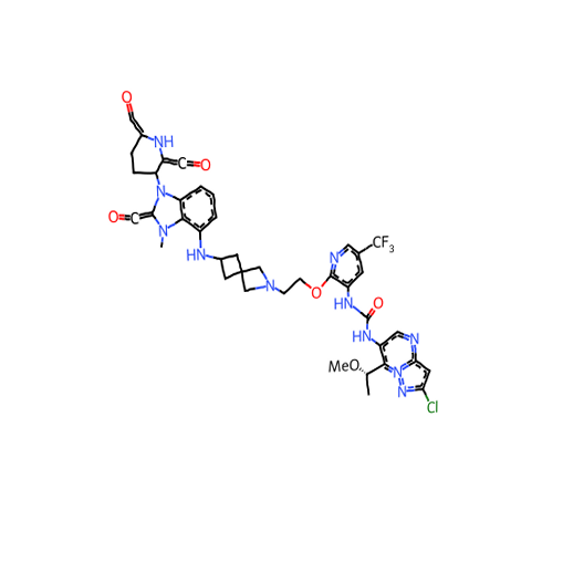 CO[C@@H](C)c1c(NC(=O)Nc2cc(C(F)(F)F)cnc2OCCN2CC3(CC(Nc4cccc5c4N(C)C(=C=O)N5C4CCC(=C=O)NC4=C=O)C3)C2)cnc2cc(Cl)nn12